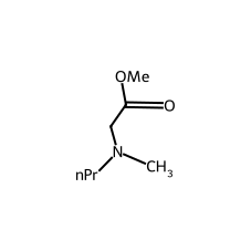 CCCN(C)CC(=O)OC